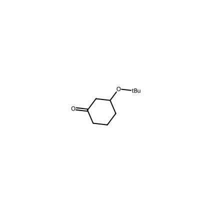 CC(C)(C)OC1CCCC(=O)C1